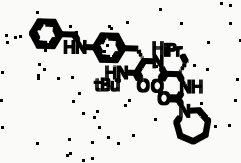 CC(C)C[C@H](NC(=O)N1CCCCCC1)C(=O)N[C@@H](Cc1ccc(NCc2ccccc2)cc1)C(=O)NC(C)(C)C